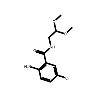 COC(CNC(=O)c1cc(Cl)ccc1N)OC